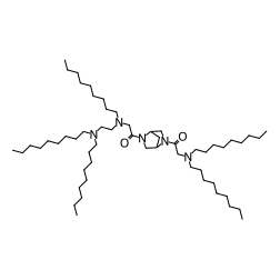 CCCCCCCCCN(CCCCCCCCC)CCN(CCCCCCCCC)CC(=O)N1CC2CC1CN2C(=O)CN(CCCCCCCCC)CCCCCCCCC